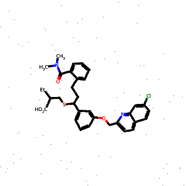 CCC(CSC(CCc1ccccc1C(=O)N(C)C)c1cccc(OCc2ccc3ccc(Cl)cc3n2)c1)C(=O)O